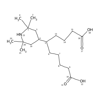 CC1(C)CC(C(CCCCC(=O)O)CCCC(=O)O)CC(C)(C)N1